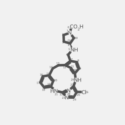 O=C(O)N1CC[C@H](NCc2ccc3cc2CCc2cccc(c2)Nc2ncc(Cl)c(n2)N3)C1